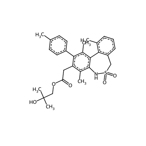 Cc1ccc(-c2c(C)c3c(c(C)c2CC(=O)OCC(C)(C)O)NS(=O)(=O)Cc2cccc(C)c2-3)cc1